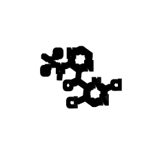 CN(c1nccnc1C(=O)c1nc(Cl)ncc1Cl)S(C)(=O)=O